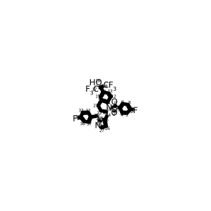 O=S(=O)(c1ccc(F)cc1)N1c2ccc(C(O)(C(F)(F)F)C(F)(F)F)cc2CC[C@H]1Cc1ccnn1Cc1ccc(F)cc1